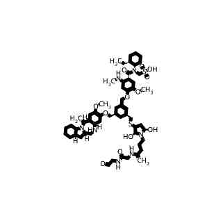 C=C(CCCN1[C@H](O)CC(SC[C@@H]2C=C(COC3=C(OC)C[C@@H](C(=O)N(CS(=O)(=O)O)[C@H]4CCCC[C@H]4CC)C(NC)C3)C[C@H](COC3=C(OC)C[C@@H]4C(=C)N5C6CCCC[C@@H]6C[C@H]5CN[C@@H]4C3)C2)[C@@H]1O)NCC(=O)NCC=O